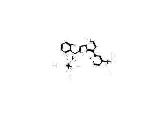 CC(C)(O)c1ccnc(-c2ccnc3cc([C@H](N[S@@+]([O-])C(C)(C)C)c4ccccc4Cl)sc23)c1